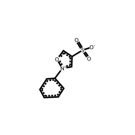 O=S(=O)([O-])c1co[n+](-c2ccccc2)c1